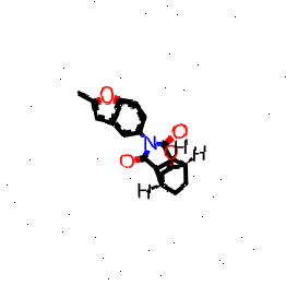 Cc1cc2cc(N3C(=O)C4[C@H]5CC[C@H](C(=O)C5)[C@@H]4C3=O)ccc2o1